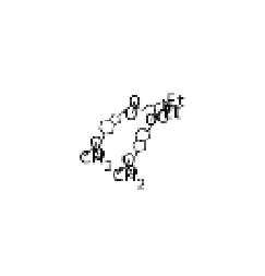 C=CC(=O)OCC1CCC2CC(COC(=O)CCC(CN(CC)CC)C(=O)OCC3CCC4CC(COC(=O)C=C)CC4C3)CC2C1